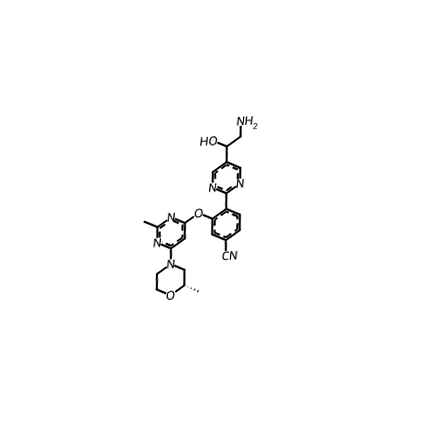 Cc1nc(Oc2cc(C#N)ccc2-c2ncc(C(O)CN)cn2)cc(N2CCO[C@@H](C)C2)n1